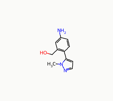 Cn1nccc1-c1ccc(N)cc1CO